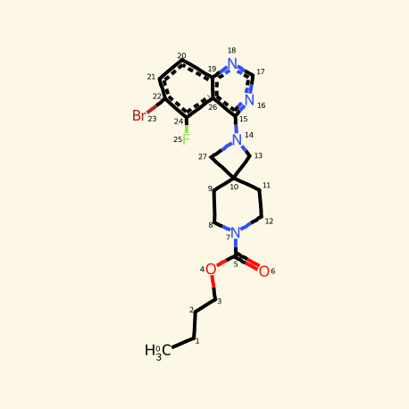 CCCCOC(=O)N1CCC2(CC1)CN(c1ncnc3ccc(Br)c(F)c13)C2